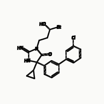 CCC(O)CCN1C(=N)NC(c2cccc(-c3cccc(Cl)c3)c2)(C2CC2)C1=O